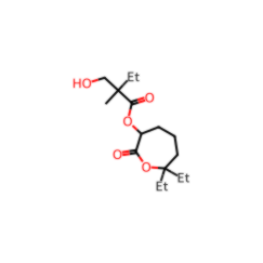 CCC1(CC)CCCC(OC(=O)C(C)(CC)CO)C(=O)O1